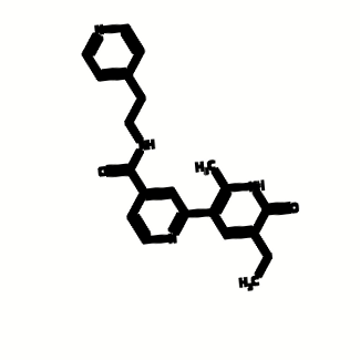 CCc1cc(-c2cc(C(=O)NCCc3ccncc3)ccn2)c(C)[nH]c1=O